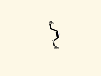 CC(C)(C)C/C=C\SC(C)(C)C